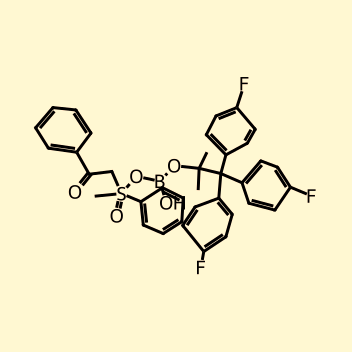 CC(C)(OB(O)OS(C)(=O)(CC(=O)c1ccccc1)c1ccccc1)C(c1ccc(F)cc1)(c1ccc(F)cc1)c1ccc(F)cc1